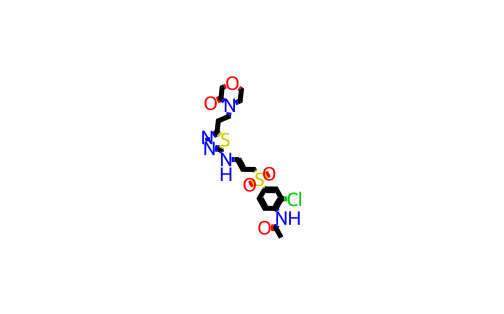 CC(=O)Nc1ccc(S(=O)(=O)CC=CNc2nnc(CCN3CCOCC3=O)s2)cc1Cl